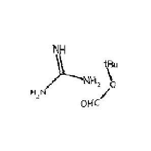 CC(C)(C)OC=O.N=C(N)N